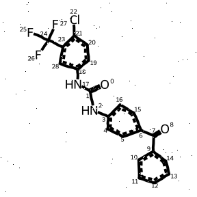 O=C(Nc1ccc(C(=O)c2ccccc2)cc1)Nc1ccc(Cl)c(C(F)(F)F)c1